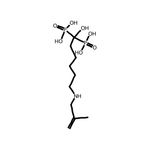 C=C(C)CNCCCCCC(O)(P(=O)(O)O)P(=O)(O)O